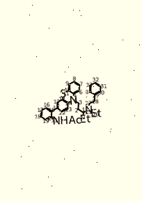 CCC(CCN1c2ccccc2Sc2cc(-c3ccccc3NC(C)=O)ccc21)N(CC)CCc1ccccc1